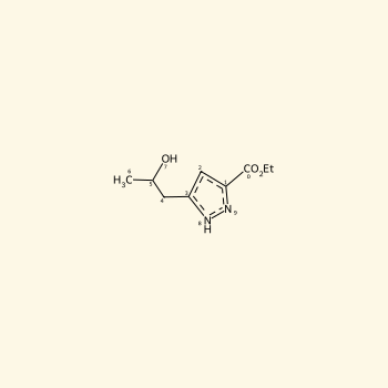 CCOC(=O)c1cc(CC(C)O)[nH]n1